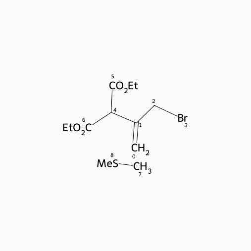 C=C(CBr)C(C(=O)OCC)C(=O)OCC.CSC